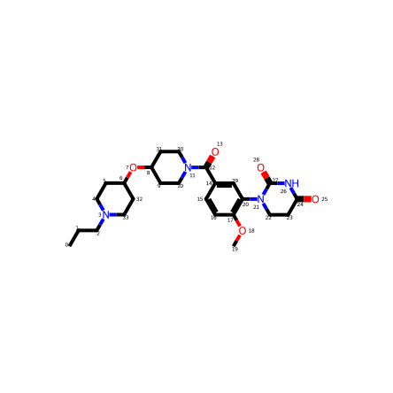 CCCN1CCC(OC2CCN(C(=O)c3ccc(OC)c(N4CCC(=O)NC4=O)c3)CC2)CC1